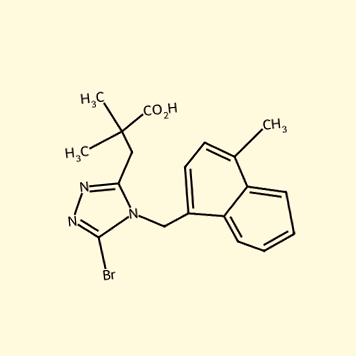 Cc1ccc(Cn2c(Br)nnc2CC(C)(C)C(=O)O)c2ccccc12